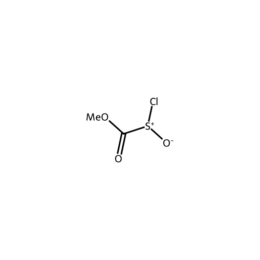 COC(=O)[S+]([O-])Cl